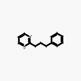 c1ccc(CCCc2ncccn2)cc1